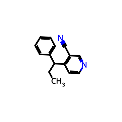 CCC(c1ccccc1)c1ccncc1C#N